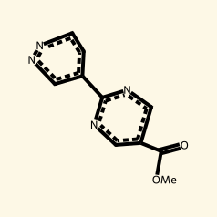 COC(=O)c1cnc(-c2ccnnc2)nc1